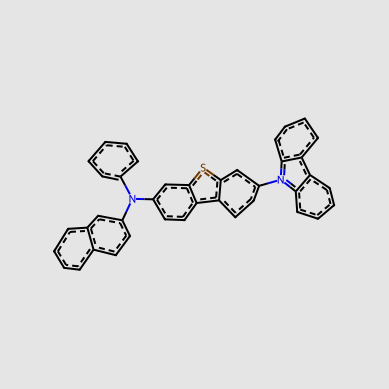 c1ccc(N(c2ccc3ccccc3c2)c2ccc3c(c2)sc2cc(-n4c5ccccc5c5ccccc54)ccc23)cc1